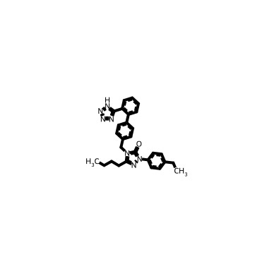 CCCCc1nn(-c2ccc(CC)cc2)c(=O)n1Cc1ccc(-c2ccccc2-c2nnn[nH]2)cc1